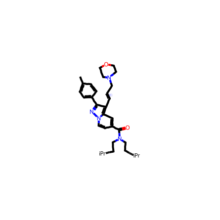 Cc1ccc(-c2nn3ccc(C(=O)N(CCC(C)C)CCC(C)C)cc3c2/C=C/CN2CCOCC2)cc1